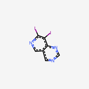 Ic1ncc2cncnc2c1I